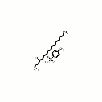 CCCCCCCCCCCCC(O)CCC.Cc1ccc(S(=O)(=O)O)cc1